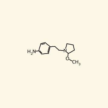 COC1CCCN1CCc1ccc(N)cc1